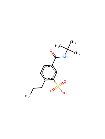 CCCc1ccc(C(=O)NC(C)(C)C)cc1S(=O)(=O)O